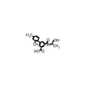 Cc1ccc(-c2cc(C(=O)O)cc(C(=O)N[C@@H](C)CO)c2)c(C)c1